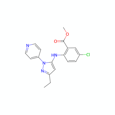 CCc1cc(Nc2ccc(Cl)cc2C(=O)OC)n(-c2ccncc2)n1